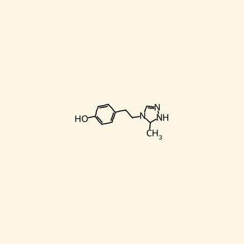 CC1NN=CN1CCc1ccc(O)cc1